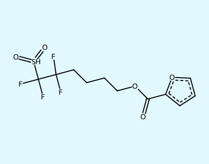 O=C(OCCCCC(F)(F)C(F)(F)[SH](=O)=O)c1ccco1